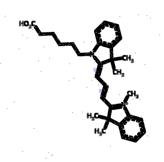 C[N+]1=C(/C=C/C=C2/N(CCCCCC(=O)O)c3ccccc3C2(C)C)C(C)(C)c2ccccc21